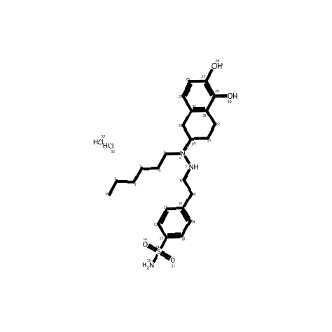 CCCCCCN(NCCc1ccc(S(N)(=O)=O)cc1)C1CCc2c(ccc(O)c2O)C1.Cl.Cl